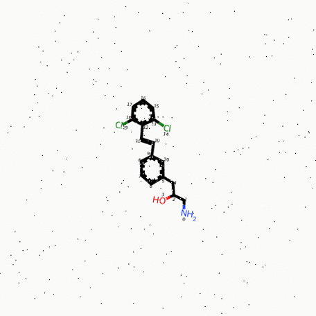 NCC(O)Cc1cccc(/C=C/c2c(Cl)cccc2Cl)c1